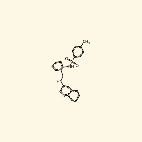 Cc1ccc(S(=O)(=O)Nc2ccccc2CNc2cnc3ccccc3c2)cc1